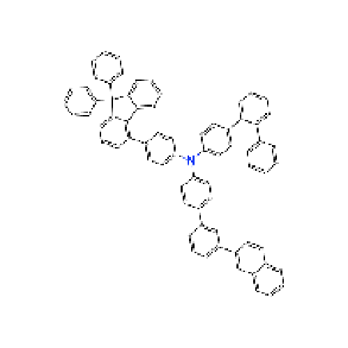 c1ccc(-c2ccccc2-c2ccc(N(c3ccc(-c4cccc(-c5ccc6ccccc6c5)c4)cc3)c3ccc(-c4cccc5c4-c4ccccc4C5(c4ccccc4)c4ccccc4)cc3)cc2)cc1